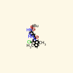 Cc1cc2c(c3c(C)cccc13)[C@H](CCl)CN2C(=O)c1cc2cc(NC(=O)OC(C)(C)C)cnc2[nH]1